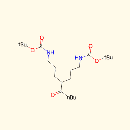 CCCCC(=O)C(CCCNC(=O)OC(C)(C)C)CCCNC(=O)OC(C)(C)C